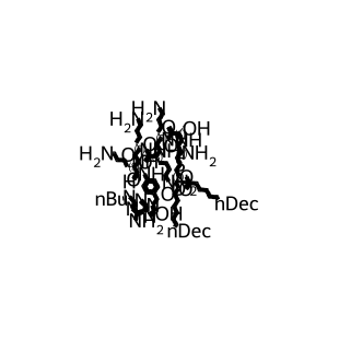 CCCCCCCCCCCCCCCC(=O)OC[C@@H](CSC[C@H](N)C(=O)N[C@@H](CO)C(=O)N[C@@H](CCCCN)C(=O)N[C@@H](CCCCN)C(=O)N[C@@H](CCCCN)C(=O)N[C@@H](CCCCN)C(=O)Nc1ccc(Cn2c(O)nc3c(N)nc(NCCCC)nc32)cc1)OC(=O)CCCCCCCCCCCCCCC